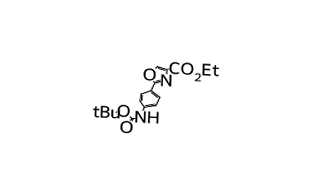 CCOC(=O)c1coc(-c2ccc(NC(=O)OC(C)(C)C)cc2)n1